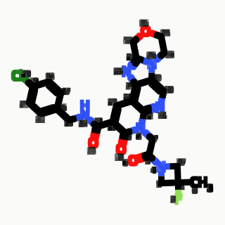 CC1(F)CN(C(=O)Cn2c(=O)c(C(=O)NCc3ccc(Cl)cc3)cc3c4nc5n(c4cnc32)CCOC5)C1